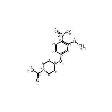 COc1cc(OC2CCN(C(=O)O)CC2)ccc1[N+](=O)[O-]